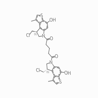 Cc1csc2c(O)cc3c(c12)[C@H](CCl)CN3C(=O)CCCC(=O)N1C[C@@H](CCl)c2c1cc(O)c1scc(C)c21